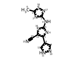 Cc1nc(Nc2nc(-c3cn[nH]c3)c(C#N)s2)ns1